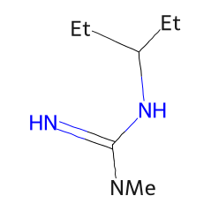 CCC(CC)NC(=N)NC